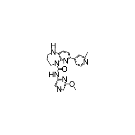 COc1cncc(NC(=O)N2CCCNc3ccc(-c4ccnc(C)c4)nc32)n1